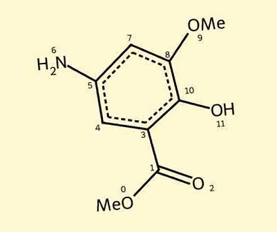 COC(=O)c1cc(N)cc(OC)c1O